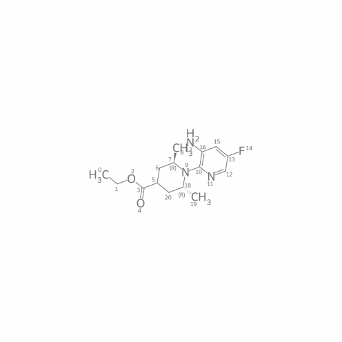 CCOC(=O)C1C[C@@H](C)N(c2ncc(F)cc2N)[C@H](C)C1